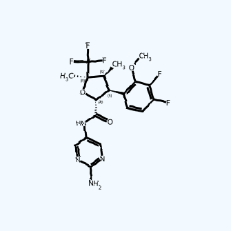 COc1c([C@H]2[C@H](C(=O)Nc3cnc(N)nc3)O[C@@](C)(C(F)(F)F)[C@H]2C)ccc(F)c1F